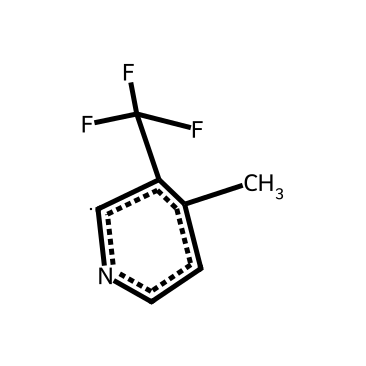 Cc1ccn[c]c1C(F)(F)F